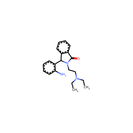 CCN(CC)CCN1C(=O)c2ccccc2C1c1ccccc1N